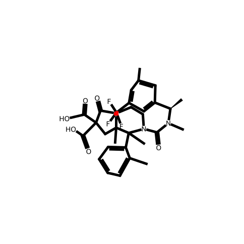 Cc1cc([C@@H](C)N(C)C(=O)N2CCN3C(=O)C(C(=O)O)(C(=O)O)CC3(C)C2(C)c2ccccc2C)cc(C(F)(F)F)c1